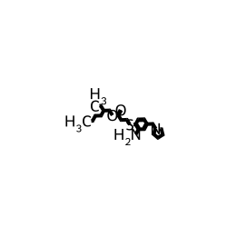 CCCCC(CC)COC(=O)CCSc1ccc(CN2CCCC2)cc1N